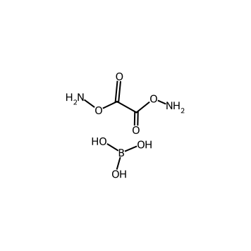 NOC(=O)C(=O)ON.OB(O)O